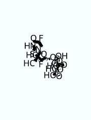 C#CC1(O)[C@@H](F)[C@@H](COP(=O)(O)OP(=O)(O)OP(=O)(O)O)O[C@H]1n1cc(F)c(=O)[nH]c1=S